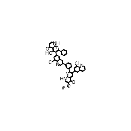 CC(C)Oc1c[nH]c2nc(-c3cccc(-c4cnc5c(Cl)cc(-c6c(-c7ccccc7)nc7[nH]ccc(=O)c7c6O)cc5c4)c3)c(-c3cc(Cl)c4ncccc4c3)cc2c1=O